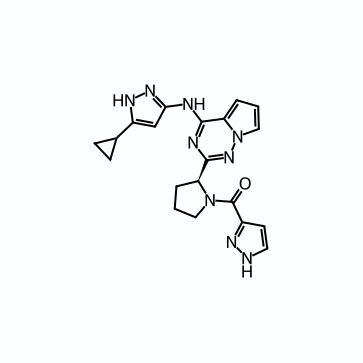 O=C(c1cc[nH]n1)N1CCC[C@H]1c1nc(Nc2cc(C3CC3)[nH]n2)c2cccn2n1